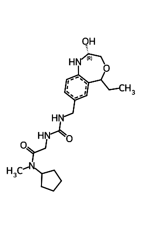 CCC1OC[C@@H](O)Nc2ccc(CNC(=O)NCC(=O)N(C)C3CCCC3)cc21